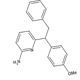 COc1ccc(C(Cc2ccccc2)c2cccc(N)n2)cc1